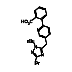 CCCCn1nc(C(C)C)nc1Cc1ccc(-c2ccccc2C(=O)O)nc1